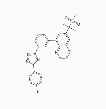 CC(C)(c1cc(-c2cccc(-c3nc(-c4ccc(F)cc4)no3)c2)c2ncccc2c1)S(C)(=O)=O